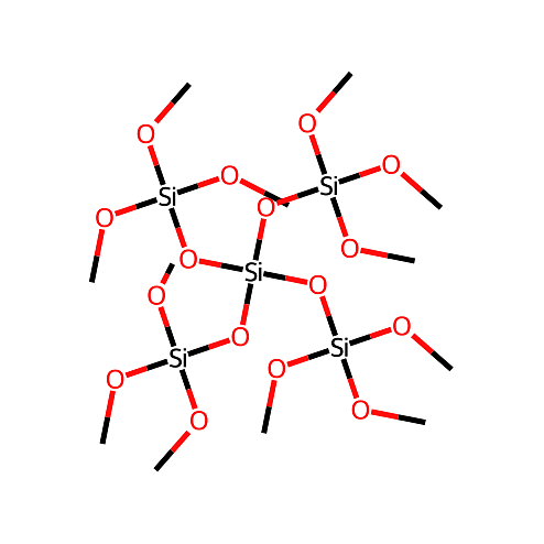 CO[Si](OC)(OC)O[Si](O[Si](OC)(OC)OC)(O[Si](OC)(OC)OC)O[Si](OC)(OC)OC